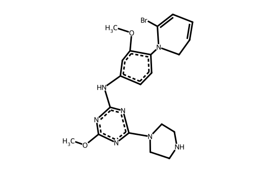 COc1nc(Nc2ccc(N3CC=CC=C3Br)c(OC)c2)nc(N2CCNCC2)n1